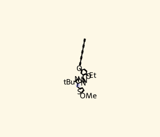 C#CC#CC#CC#CC#COc1ccc(OCC)c(-c2nnc3/c(=C\c4ccc(OC)s4)c(C(C)(C)C)nn23)c1